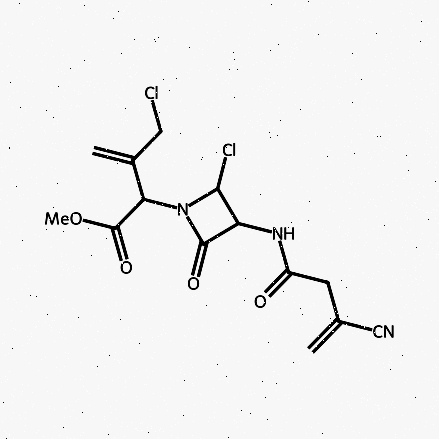 C=C(C#N)CC(=O)NC1C(=O)N(C(C(=C)CCl)C(=O)OC)C1Cl